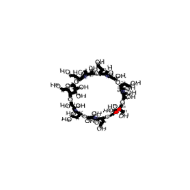 C/C1=C(\O)C(CCO)OC2OC(CO)C(OC(O)/C(O)=C(\O)C(CCO)OC(O)/C(O)=C(\O)C(CCO)OC3OC(CO)C(OC(O)/C(O)=C(/O)C(CCO)OC(O)/C(O)=C(/C)C(CCO)OC1O)C(O)C3O)C(O)C2O